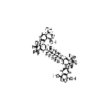 O=C(O)c1ccc(OC2(C(F)(F)F)CC=C(C(F)(F)C(F)(F)C(F)(F)C(F)(F)C(F)(F)C3=CCC(Oc4ccc(C(=O)O)c(C(=O)O)c4)(C(F)(F)F)C(C(F)(F)F)=C3)C=C2C(F)(F)F)cc1C(=O)O